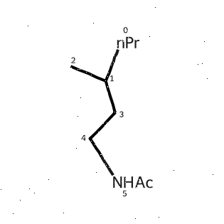 CCCC(C)CCNC(C)=O